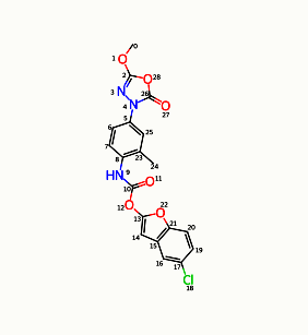 COc1nn(-c2ccc(NC(=O)Oc3cc4cc(Cl)ccc4o3)c(C)c2)c(=O)o1